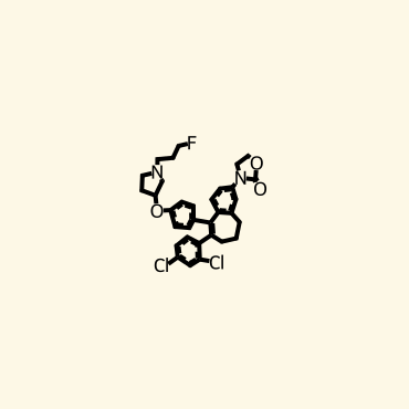 O=C1OCCN1c1ccc2c(c1)CCCC(c1ccc(Cl)cc1Cl)=C2c1ccc(OC2CCN(CCCF)C2)cc1